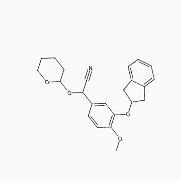 COc1ccc(C(C#N)OC2CCCCO2)cc1OC1Cc2ccccc2C1